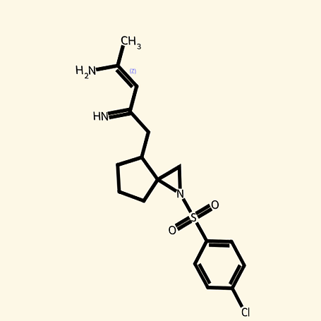 C/C(N)=C/C(=N)CC1CCCC12CN2S(=O)(=O)c1ccc(Cl)cc1